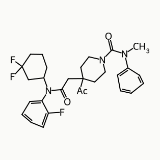 CC(=O)C1(CC(=O)N(c2ccccc2F)C2CCCC(F)(F)C2)CCN(C(=O)N(C)c2ccccc2)CC1